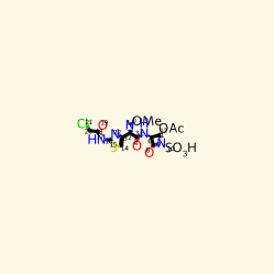 CON=C(C(=O)N[C@@H]1C(=O)N(S(=O)(=O)O)[C@@H]1OC(C)=O)c1csc(NC(=O)CCl)n1